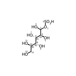 O=S(=O)(O)OC(O)[C@@H](O)[C@@H](O)[C@H](O)[C@H](O)CO